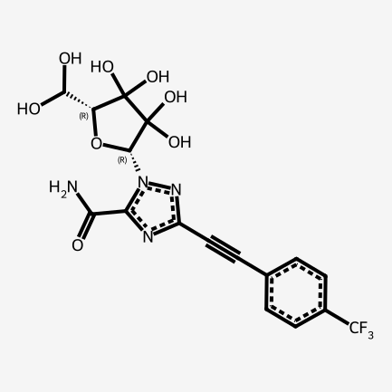 NC(=O)c1nc(C#Cc2ccc(C(F)(F)F)cc2)nn1[C@@H]1O[C@H](C(O)O)C(O)(O)C1(O)O